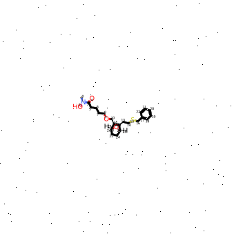 CN(O)C(=O)CCCCOC[C@H]1[C@@H](CCSCc2ccccc2)[C@H]2CC[C@@H]1O2